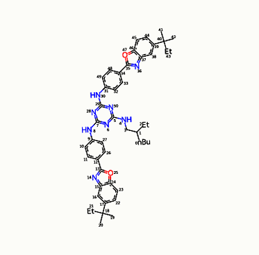 CCCCC(CC)CNc1nc(Nc2ccc(-c3nc4cc(C(C)(C)CC)ccc4o3)cc2)nc(Nc2ccc(-c3nc4cc(C(C)(C)CC)ccc4o3)cc2)n1